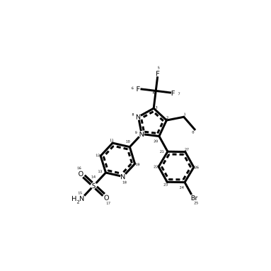 CCc1c(C(F)(F)F)nn(-c2ccc(S(N)(=O)=O)nc2)c1-c1ccc(Br)cc1